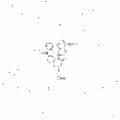 CNC(=O)c1cccc(F)c1N(Cl)c1ccnc(Nc2ccc3c(c2)NC(=O)CN(CCOC)C3)n1